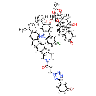 CC(C(=O)O)c1ccc2c(c1)Cc1ccccc1-2.CC(C(=O)O)c1ccc2c(c1)[nH]c1ccc(Cl)cc12.CCCC1O[C@@H]2C[C@H]3[C@@H]4CCC5=CC(=O)C=C[C@]5(C)[C@H]4[C@@H](O)C[C@]3(C)[C@]2(C(=O)CO)O1.O=C(CCn1nnc(-c2cccc(Br)c2)n1)N1CCCCC1